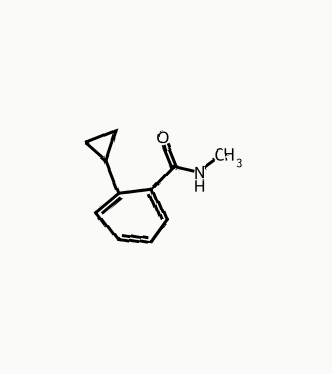 CNC(=O)c1ccccc1C1CC1